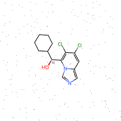 O[C@H](c1c(Cl)c(Cl)cc2cncn12)C1CCCCC1